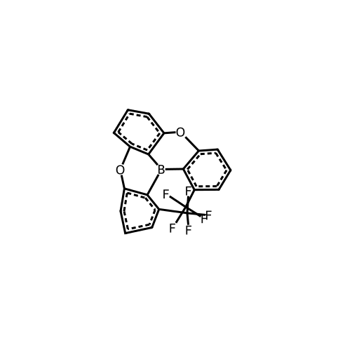 FC(F)(F)c1cccc2c1B1c3c(cccc3Oc3cccc(C(F)(F)F)c31)O2